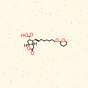 O=C1C[C@@H]2[C@H](C=CCCCCCCOC3CCCCO3)[C@@H](C(=O)O)C[C@H]2O1